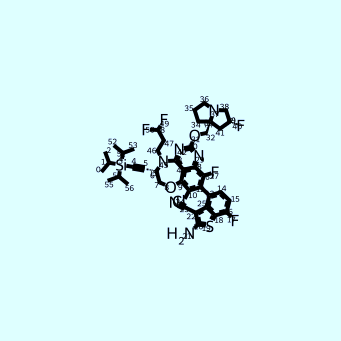 CC(C)[Si](C#C[C@H]1COc2c(Cl)c(-c3ccc(F)c4sc(N)c(C#N)c34)c(F)c3nc(OC[C@@]45CCCN4C[C@H](F)C5)nc(c23)N1CCC(F)F)(C(C)C)C(C)C